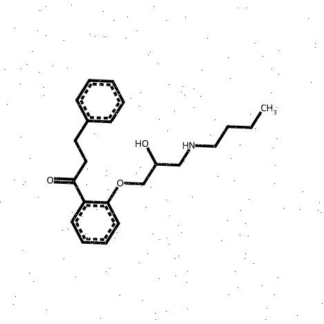 CCCCNCC(O)COc1ccccc1C(=O)CCc1ccccc1